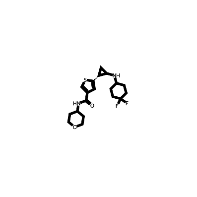 O=C(NC1CCOCC1)c1csc([C@@H]2CC2NC2CCC(F)(F)CC2)c1